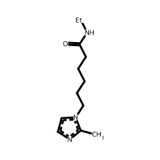 CCNC(=O)CCCCCn1c[c]nc1C